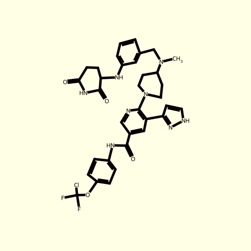 CN(Cc1cccc(NC2CCC(=O)NC2=O)c1)C1CCN(c2ncc(C(=O)Nc3ccc(OC(F)(F)Cl)cc3)cc2-c2cc[nH]n2)CC1